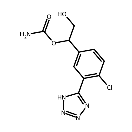 NC(=O)OC(CO)c1ccc(Cl)c(-c2nnn[nH]2)c1